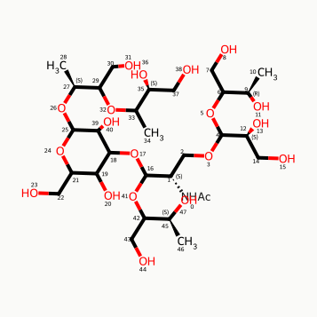 CC(=O)N[C@@H](COC(OC(CO)[C@@H](C)O)[C@@H](O)CO)C(OC1C(O)C(CO)OC(O[C@@H](C)C(CO)OC(C)[C@@H](O)CO)C1O)OC(CO)[C@H](C)O